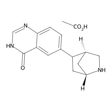 CC(=O)O.O=c1[nH]cnc2ccc(C3C[C@@H]4C[C@@H]3CN4)cc12